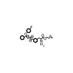 CN(C)CCOC(=O)C(N)Cc1cccc(S(=O)(=O)N2CC(Oc3ccc(F)cc3)(c3ccccc3)C2)c1